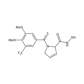 COc1cc(C(=S)N2CC=CC2C(=O)NO)cc(C(F)(F)F)c1OC